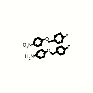 Nc1ccc(OCc2ccc(F)cc2)cc1.O=[N+]([O-])c1ccc(OCc2ccc(F)cc2)cc1